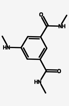 CNC(=O)c1cc(NC)cc(C(=O)NC)c1